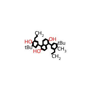 C=CCc1cc(-c2c(O)ccc3c(-c4cc(CC=C)c(O)c(C(C)(C)C)c4)c(O)ccc23)cc(C(C)(C)C)c1C